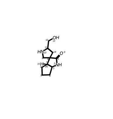 O=C1NC2CCC[C@@H]2C12CNC(CO)C2